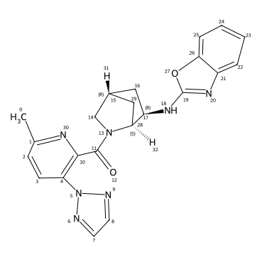 Cc1ccc(-n2nccn2)c(C(=O)N2C[C@@H]3C[C@@H](Nc4nc5ccccc5o4)[C@@H]2C3)n1